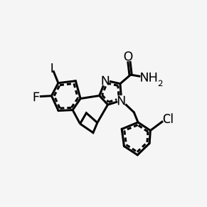 NC(=O)c1nc2c(n1Cc1ccccc1Cl)C1CC(C1)c1cc(F)c(I)cc1-2